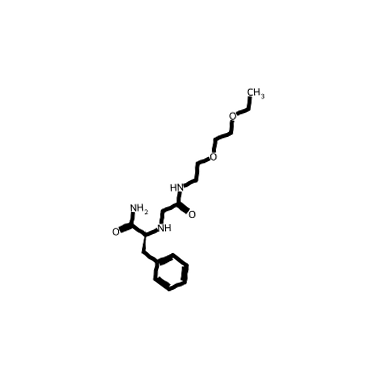 CCOCCOCCNC(=O)CN[C@@H](Cc1ccccc1)C(N)=O